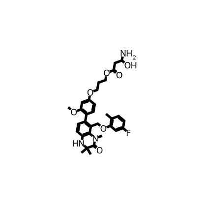 COc1cc(OCCCOC(=O)CC(N)O)ccc1-c1ccc2c(c1COc1cc(F)ccc1C)N(C)C(=O)C(C)(C)N2